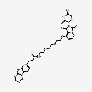 O=C(CCc1ccc2c(c1)[nH]c1ccncc12)NCCOCCOCCOc1cccc2c1C(=O)N(C1CCC(=O)NC1=O)C2=O